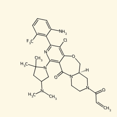 C=CC(=O)N1CCN2C(=O)c3c(N4CC(N(C)C)CC4(C)C)nc(-c4c(N)cccc4C(F)(F)F)c(Cl)c3OC[C@H]2C1